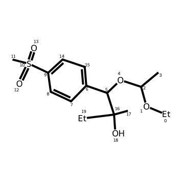 CCOC(C)OC(c1ccc(S(C)(=O)=O)cc1)C(C)(O)CC